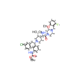 CCOc1cccc(F)c1CN1CCN(C(=O)[C@H](NC(=O)O)C2CCN(CCc3cc(Cl)ccc3-c3ccccc3NC(=O)OC(C)(C)C)CC2)CC1